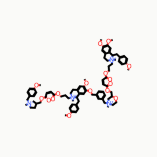 COc1ccc(CC2c3cc(OC)c(OC)cc3CC[N+]2(C)CCCOC(=O)/C=C\C(=O)OCC2C[N+](C)(Cc3cccc(COc4cc5c(cc4OC)CC[N+](C)(CCCOC(=O)/C=C\C(=O)OCC4CC[N+](C)(Cc6ccc(OC)cc6)C4)C5Cc4ccc(OC)cc4)c3)CCO2)cc1